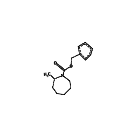 CC1CCCCCN1C(=O)OCc1ccccc1